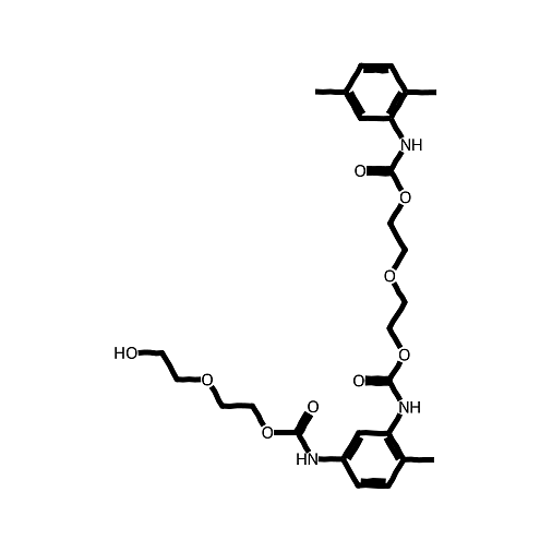 Cc1ccc(C)c(NC(=O)OCCOCCOC(=O)Nc2cc(NC(=O)OCCOCCO)ccc2C)c1